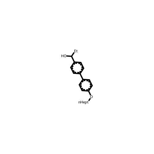 CCCCCCCOc1ccc(-c2ccc(C(O)CC)cc2)cc1